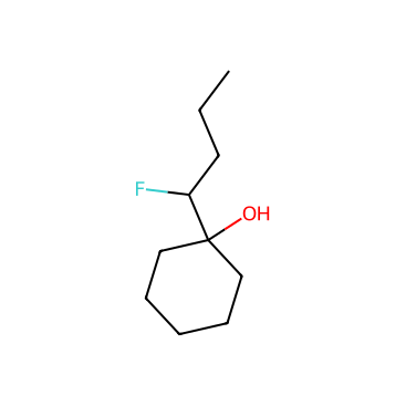 CCCC(F)C1(O)CCCCC1